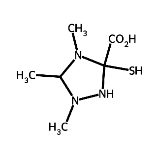 CC1N(C)NC(S)(C(=O)O)N1C